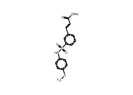 COC(=O)C=Cc1cccc(S(=O)(=O)Nc2ccc(OC(F)(F)F)cc2)c1